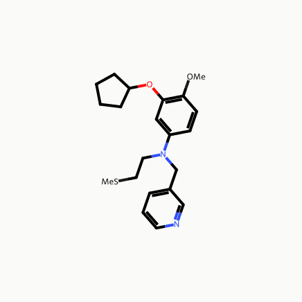 COc1ccc(N(CCSC)Cc2cccnc2)cc1OC1CCCC1